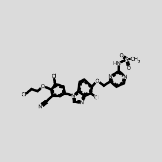 CS(=O)(=O)Nc1nccc(COc2ccc3c(ncn3-c3cc(Cl)c(OCCCl)c(C#N)c3)c2Cl)n1